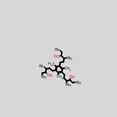 Cc1c(CCC(C(O)CC(C)(C)C)C(C)(C)C)c(C)c(CCC(C(O)CC(C)(C)C)C(C)(C)C)c(C)c1CCC(C(O)CC(C)(C)C)C(C)(C)C